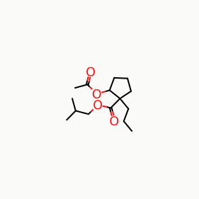 CCCC1(C(=O)OCC(C)C)CCCC1OC(C)=O